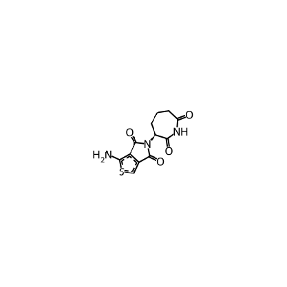 Nc1scc2c1C(=O)N([C@H]1CCCC(=O)NC1=O)C2=O